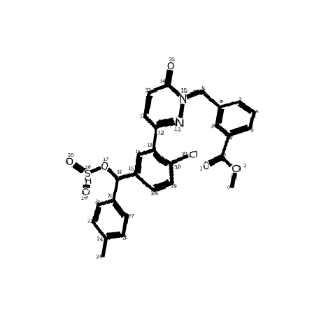 COC(=O)c1cccc(Cn2nc(-c3cc(C(O[SH](=O)=O)c4ccc(C)cc4)ccc3Cl)ccc2=O)c1